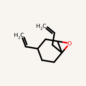 C=CCC12CCC(C=C)CC1O2